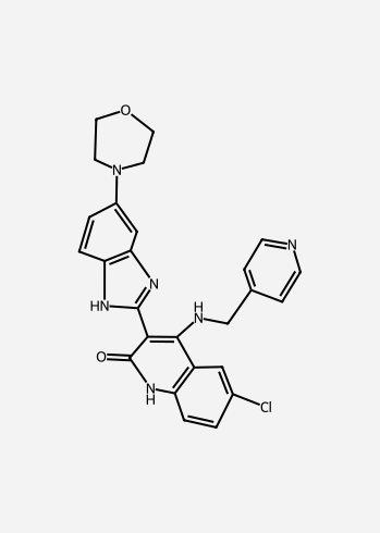 O=c1[nH]c2ccc(Cl)cc2c(NCc2ccncc2)c1-c1nc2cc(N3CCOCC3)ccc2[nH]1